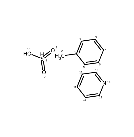 Cc1ccccc1.O=[SH](=O)O.c1ccncc1